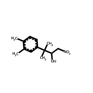 Cc1ccc(C(C)(C)C(O)C[N+](=O)[O-])cc1C